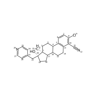 C[C@]12CCC3c4ccc(Cl)c(C#N)c4CCC3C1CC[C@@]2(O)Cc1ccncc1